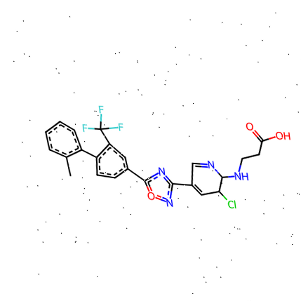 Cc1ccccc1-c1ccc(-c2nc(C3=CC(Cl)C(NCCC(=O)O)N=C3)no2)cc1C(F)(F)F